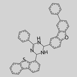 c1ccc(C2=NC(c3cccc4c3sc3ccccc34)NC(c3ccc4oc5ccc(-c6ccccc6)cc5c4c3)N2)cc1